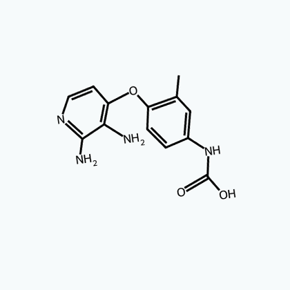 Cc1cc(NC(=O)O)ccc1Oc1ccnc(N)c1N